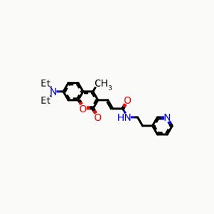 CCN(CC)c1ccc2c(C)c(C=CC(=O)NCCc3cccnc3)c(=O)oc2c1